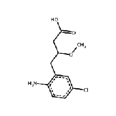 COC(CC(=O)O)Cc1cc(Cl)ccc1N